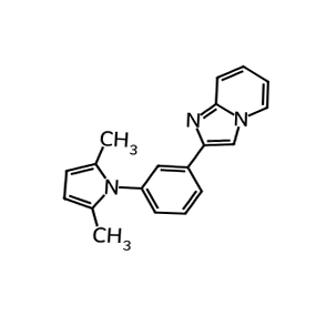 Cc1ccc(C)n1-c1cccc(-c2cn3ccccc3n2)c1